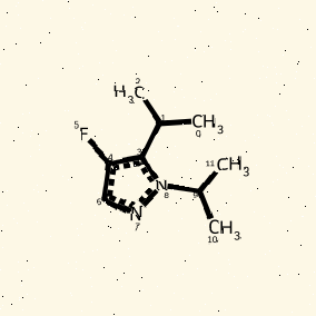 CC(C)c1c(F)cnn1C(C)C